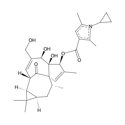 CC1=C[C@]23C(=O)[C@@H](C=C(CO)[C@@H](O)[C@]2(O)[C@H]1OC(=O)c1cc(C)n(C2CC2)c1C)[C@H]1[C@@H](C[C@H]3C)C1(C)C